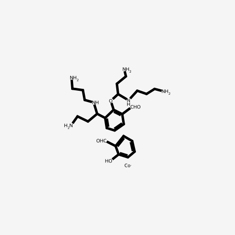 NCCCNC(CCN)Oc1c(C=O)cccc1C(CCN)NCCCN.O=Cc1ccccc1O.[Co]